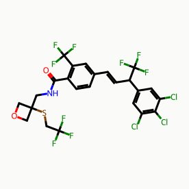 O=C(NCC1(SCC(F)(F)F)COC1)c1ccc(C=CC(c2cc(Cl)c(Cl)c(Cl)c2)C(F)(F)F)cc1C(F)(F)F